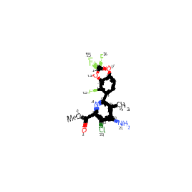 COC(=O)c1nc(-c2ccc3c(c2F)OC(F)(F)O3)c(C)c(N)c1Cl